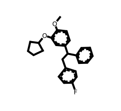 COc1ccc(C(Cc2ccc(F)cc2)c2ccccc2)cc1OC1CCCC1